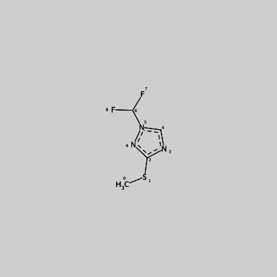 CSc1ncn(C(F)F)n1